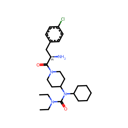 CCN(CC)C(=O)N(C1CCCCC1)C1CCN(C(=O)[C@H](N)Cc2ccc(Cl)cc2)CC1